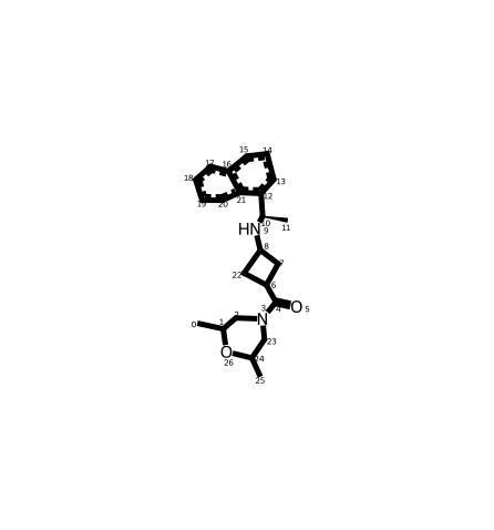 CC1CN(C(=O)C2CC(N[C@H](C)c3cccc4ccccc34)C2)CC(C)O1